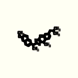 COc1ccc2cc(C(C)c3nc(O)c(C(C)c4ccc(CC(C)C)cc4)s3)ccc2c1